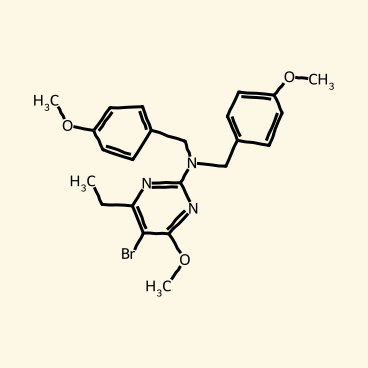 CCc1nc(N(Cc2ccc(OC)cc2)Cc2ccc(OC)cc2)nc(OC)c1Br